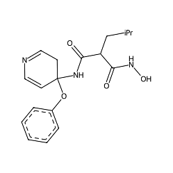 CC(C)CC(C(=O)NO)C(=O)NC1(Oc2ccccc2)C=CN=CC1